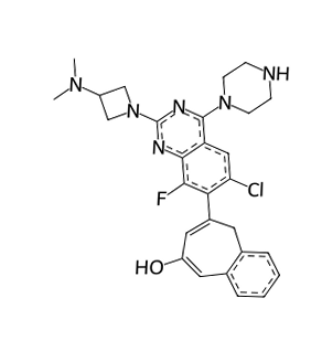 CN(C)C1CN(c2nc(N3CCNCC3)c3cc(Cl)c(C4=CC(O)=Cc5ccccc5C4)c(F)c3n2)C1